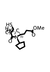 COC(=O)CC[C@@H](C(=O)O)N(C(=O)[C@H](C)CS)C1CCCC1